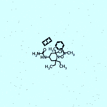 CCC1(CC)CC(NC(N)=O)CC(C)(C)N1OC(C)c1ccccc1.c1cc2ccc1-2